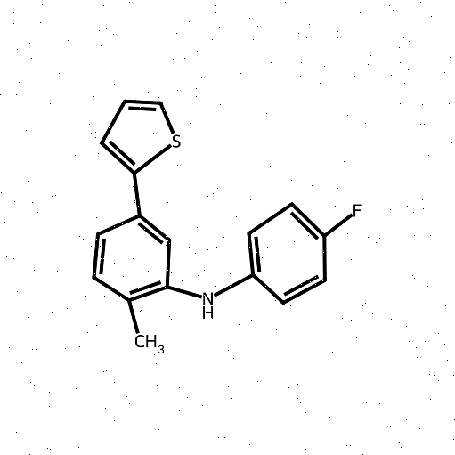 Cc1ccc(-c2cccs2)cc1Nc1ccc(F)cc1